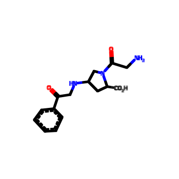 NCC(=O)N1CC(NCC(=O)c2ccccc2)CC1C(=O)O